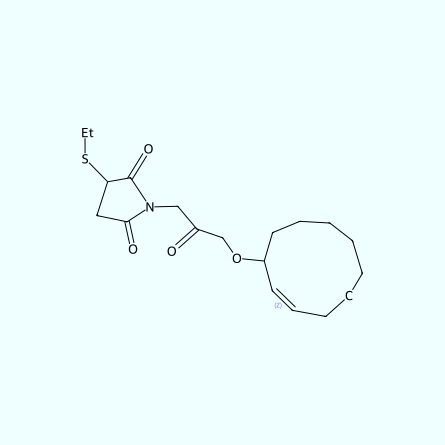 CCSC1CC(=O)N(CC(=O)COC2/C=C\CCCCCCC2)C1=O